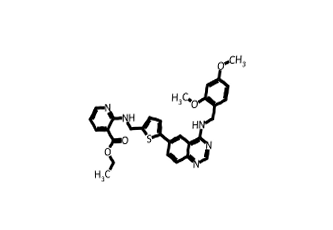 CCOC(=O)c1cccnc1NCc1ccc(-c2ccc3ncnc(NCc4ccc(OC)cc4OC)c3c2)s1